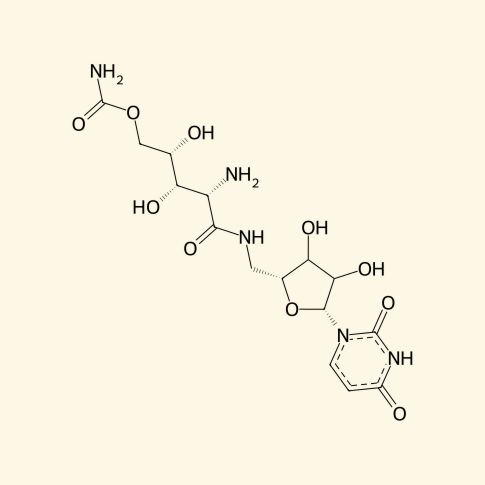 NC(=O)OC[C@H](O)[C@@H](O)[C@H](N)C(=O)NC[C@H]1O[C@@H](n2ccc(=O)[nH]c2=O)C(O)C1O